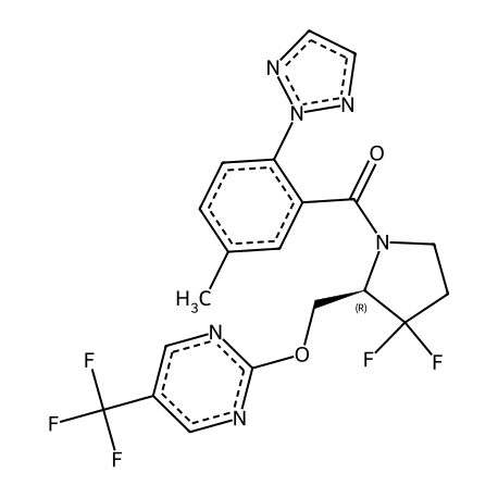 Cc1ccc(-n2nccn2)c(C(=O)N2CCC(F)(F)[C@H]2COc2ncc(C(F)(F)F)cn2)c1